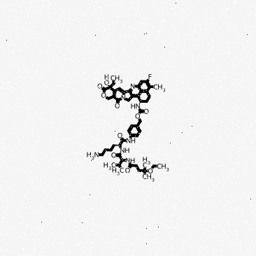 CCOC(C)(C)CCC(=O)NC(C(=O)N[C@@H](CCCCN)C(=O)Nc1ccc(COC(=O)N[C@H]2CCc3c(C)c(F)cc4nc5c(c2c34)Cn2c-5cc3c(c2=O)COC(=O)[C@]3(O)CC)cc1)C(C)C